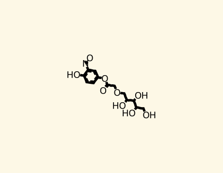 O=Nc1cc(OC(=O)COCC(O)C(O)C(O)CO)ccc1O